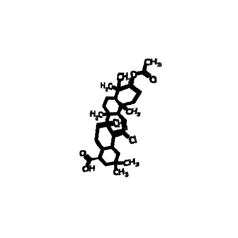 CC(=O)OC1CCC2(C)C(CCC3(C)C2CC(Cl)=C2C4CC(C)(C)C[C@@H](C(=O)O)C4CCC23C)C1(C)C